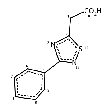 O=C(O)Cc1nc(-c2ccccc2)ns1